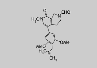 COc1cc(-c2cn(C)c(=O)c3c2CCN(C=O)C3)cc(OC)c1CN(C)C